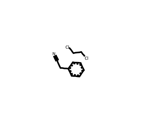 ClCCCl.N#CCc1ccccc1